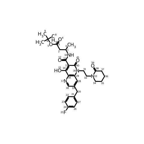 CC(CC(=O)OC(C)(C)C)NC(=O)c1c(O)c2ncc(Cc3ccc(F)cc3)cc2n(CCN2CCCCC2=O)c1=O